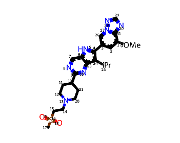 COc1cc(-c2[nH]c3cnc(C4CCN(CCS(C)(=O)=O)CC4)nc3c2C(C)C)cn2ncnc12